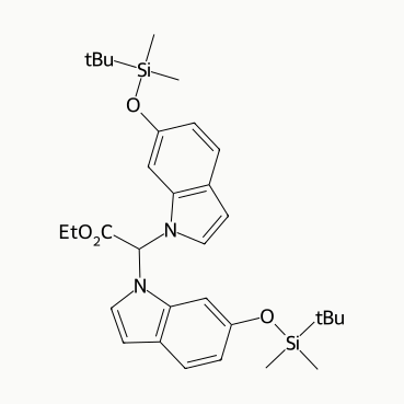 CCOC(=O)C(n1ccc2ccc(O[Si](C)(C)C(C)(C)C)cc21)n1ccc2ccc(O[Si](C)(C)C(C)(C)C)cc21